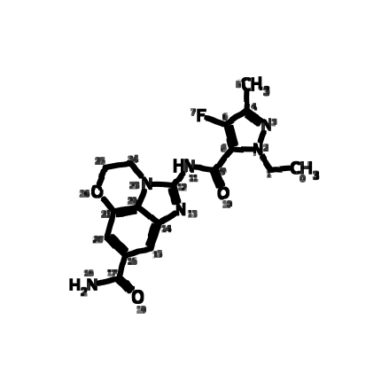 CCn1nc(C)c(F)c1C(=O)Nc1nc2cc(C(N)=O)cc3c2n1CCO3